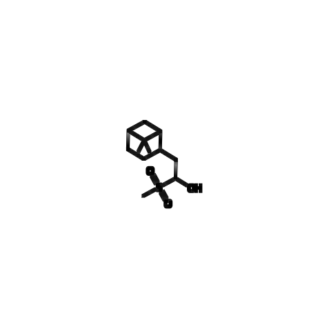 CC1(C)C2CCC(CC(O)S(C)(=O)=O)C1C2